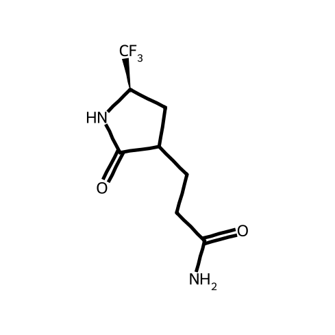 NC(=O)CCC1C[C@H](C(F)(F)F)NC1=O